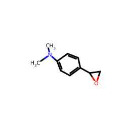 CN(C)c1ccc(C2CO2)cc1